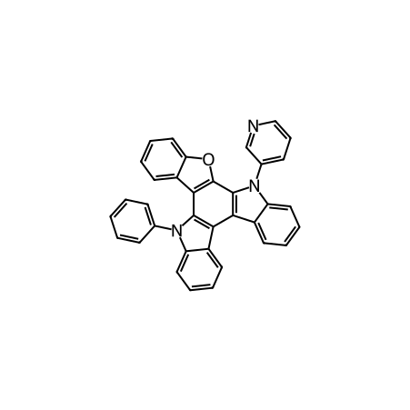 c1ccc(-n2c3ccccc3c3c4c5ccccc5n(-c5cccnc5)c4c4oc5ccccc5c4c32)cc1